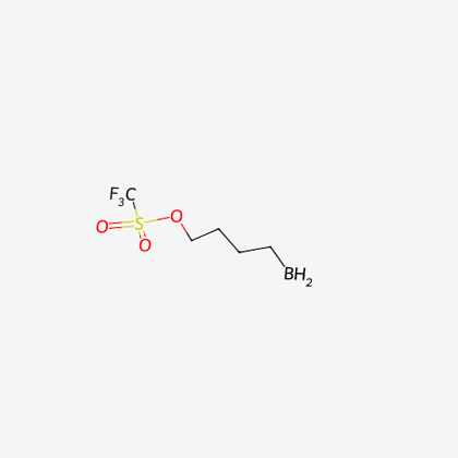 BCCCCOS(=O)(=O)C(F)(F)F